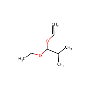 [CH2]COC(OC=C)C(C)C